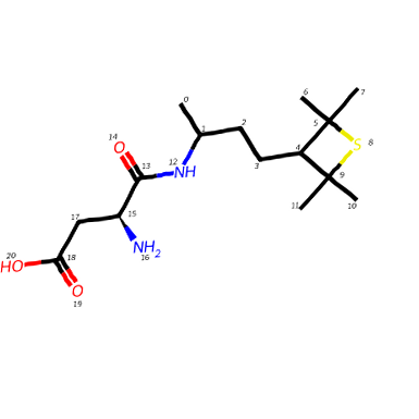 CC(CCC1C(C)(C)SC1(C)C)NC(=O)[C@@H](N)CC(=O)O